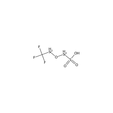 O=S(=O)(O)[SiH2]O[SiH2]C(F)(F)F